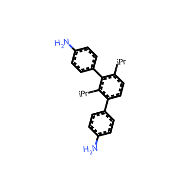 CC(C)c1ccc(-c2ccc(N)cc2)c(C(C)C)c1-c1ccc(N)cc1